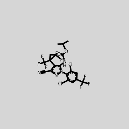 CC(C)OC(=O)Nc1c(C2(C(F)(F)F)CC2(F)F)c(C#N)nn1-c1c(Cl)cc(C(F)(F)F)cc1Cl